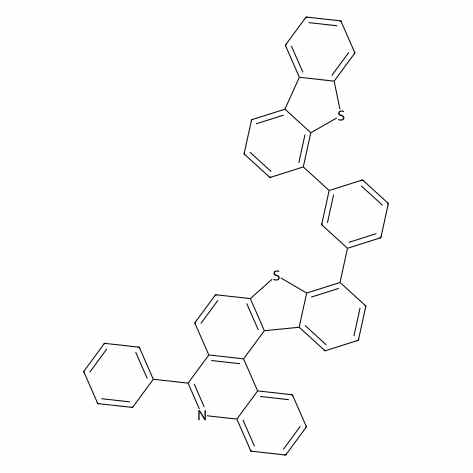 c1ccc(-c2nc3ccccc3c3c2ccc2sc4c(-c5cccc(-c6cccc7c6sc6ccccc67)c5)cccc4c23)cc1